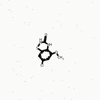 COc1cc(Cl)cc2c1NC(=O)NS2